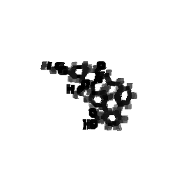 COc1ccc(C(=O)N(CCCc2ccccc2)Cc2ccc(-c3ccccc3C(=O)O)cc2)c(OC)c1